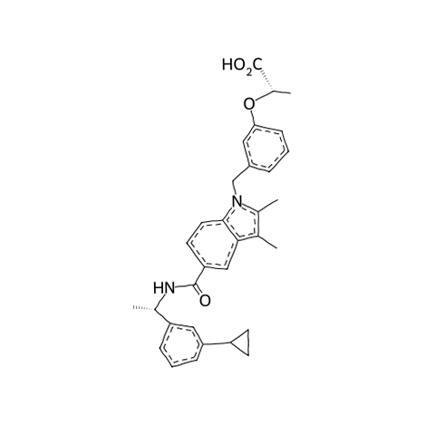 Cc1c(C)n(Cc2cccc(O[C@@H](C)C(=O)O)c2)c2ccc(C(=O)N[C@@H](C)c3cccc(C4CC4)c3)cc12